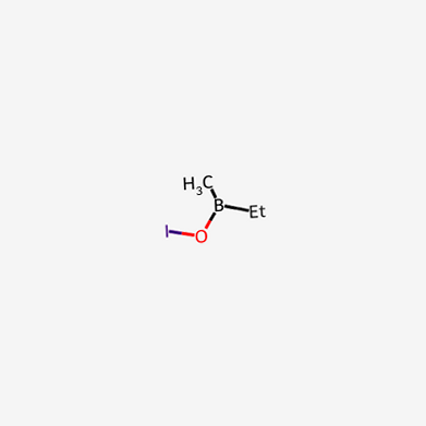 CCB(C)OI